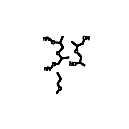 CC(O)COC(C)CO.CCCOC.CCCOCC(C)OCC(C)OCCC